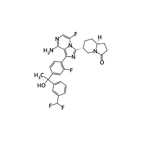 CC(O)(c1cccc(C(F)F)c1)c1ccc(-c2nc([C@@H]3CC[C@H]4CCC(=O)N4C3)n3c(F)cnc(N)c23)c(F)c1